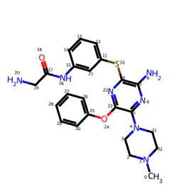 CN1CCN(c2nc(N)c(Sc3cccc(NC(=O)CN)c3)nc2Oc2ccccc2)CC1